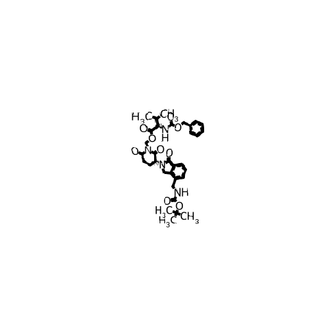 CC(C)[C@@H](NC(=O)OCc1ccccc1)C(=O)OCN1C(=O)CC[C@@H](N2Cc3c(CNC(=O)OC(C)(C)C)cccc3C2=O)C1=O